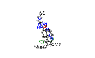 [C-]#[N+]C1CN(Cc2c[nH]c(NC(=O)c3ccc(-c4c(Cl)c(OC)cc(OC)c4Cl)c4nccnc34)n2)C1